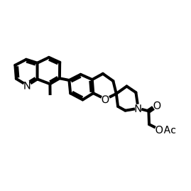 CC(=O)OCC(=O)N1CCC2(CCc3cc(-c4ccc5cccnc5c4C)ccc3O2)CC1